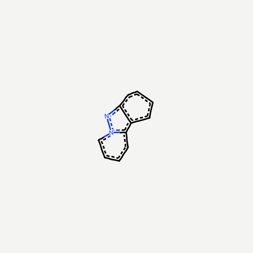 c1ccc2c(c1)nn1ccccc21